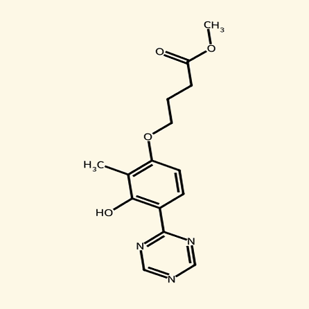 COC(=O)CCCOc1ccc(-c2ncncn2)c(O)c1C